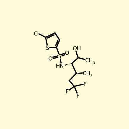 CC(O)[C@@H](NS(=O)(=O)c1ccc(Cl)s1)[C@@H](C)CC(F)(F)F